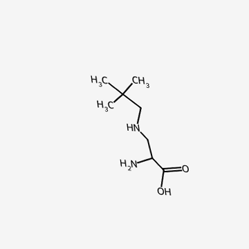 CC(C)(C)CNCC(N)C(=O)O